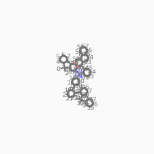 CC1(C)c2ccccc2-c2ccc(N(c3ccc(-c4ccccc4-c4cccc5c4C(C)(C)c4ccccc4-5)cc3)c3ccccc3-c3cccc4c3ccc3ccccc34)cc21